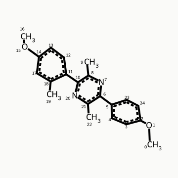 COc1ccc(-c2nc(C)c(-c3ccc(OC)cc3C)nc2C)cc1